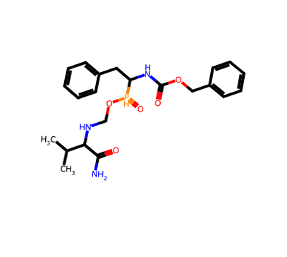 CC(C)C(NCO[PH](=O)C(Cc1ccccc1)NC(=O)OCc1ccccc1)C(N)=O